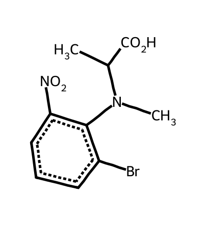 CC(C(=O)O)N(C)c1c(Br)cccc1[N+](=O)[O-]